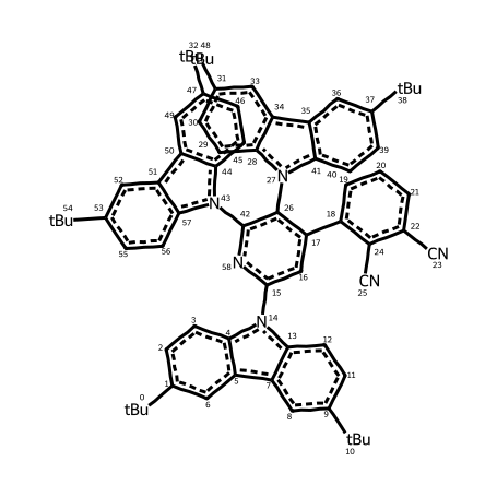 CC(C)(C)c1ccc2c(c1)c1cc(C(C)(C)C)ccc1n2-c1cc(-c2cccc(C#N)c2C#N)c(-n2c3ccc(C(C)(C)C)cc3c3cc(C(C)(C)C)ccc32)c(-n2c3ccc(C(C)(C)C)cc3c3cc(C(C)(C)C)ccc32)n1